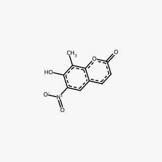 Cc1c(O)c([N+](=O)[O-])cc2ccc(=O)oc12